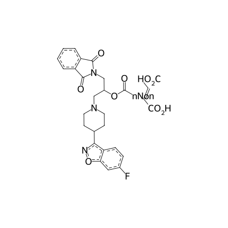 CCCCCCCCCC(=O)OC(CN1CCC(c2noc3cc(F)ccc23)CC1)CN1C(=O)c2ccccc2C1=O.O=C(O)C=CC(=O)O